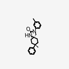 Cc1cccc(N2C[C@]3(CC[C@@](C)(c4ccccc4)CC3)NC2=O)c1